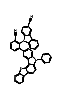 N#Cc1ccc2c(c1)c1ccccc1n2-c1c(C#N)cccc1-c1ccc2c(c1)c1c3sc4ccccc4c3ccc1n2-c1ccccc1